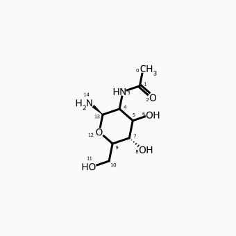 CC(=O)NC1C(O)[C@H](O)C(CO)O[C@H]1N